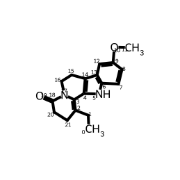 CCC1=C2c3[nH]c4ccc(OC)cc4c3CCN2C(=O)CC1